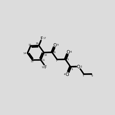 CCOC(=O)C(=O)CC(=O)c1c(F)cccc1F